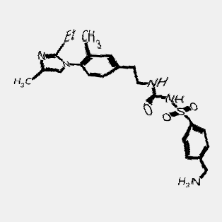 CCc1nc(C)cn1-c1ccc(CCNC(=O)NS(=O)(=O)c2ccc(CN)cc2)cc1C